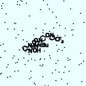 CC(C)(C)[C@H](NC(=O)c1nc2ccccc2nc1O)C(=O)N1CCC(Oc2ccc(C(F)(F)F)cn2)CC1